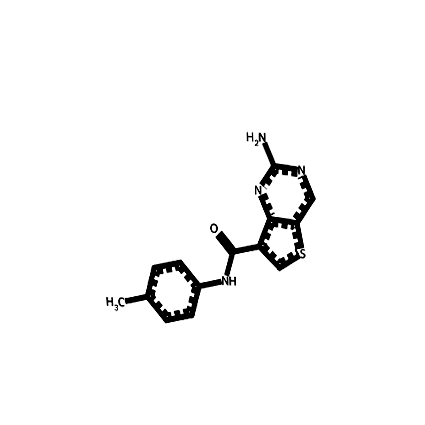 Cc1ccc(NC(=O)c2csc3cnc(N)nc23)cc1